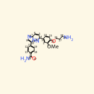 COc1cc(-c2ccc3ncc(-c4ccc(C(N)=O)cc4)n3n2)ccc1OCCCN